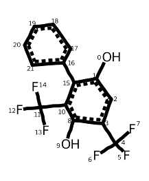 Oc1cc(C(F)(F)F)c(O)c(C(F)(F)F)c1-c1ccccc1